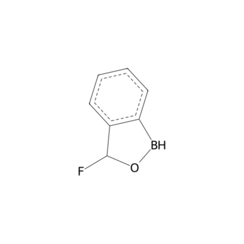 FC1OBc2ccccc21